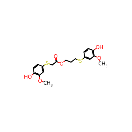 COc1cc(SCCCOC(=O)CSc2ccc(O)c(OC)c2)ccc1O